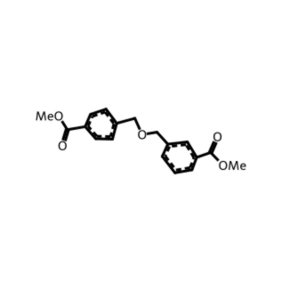 COC(=O)c1ccc(COCc2cccc(C(=O)OC)c2)cc1